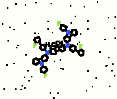 CC1(C)c2cc(N(c3ccc(-c4ccccc4F)cc3)c3ccc4c(c3)c3ccccc3n4-c3ccc(F)cc3)ccc2-c2ccc(N(c3ccc(-c4ccccc4F)cc3)c3ccc4c(c3)c3ccccc3n4-c3ccc(F)cc3)cc21